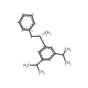 CC(C)c1[c]c(C(C)C)cc([C@@H](C)Cc2ccccc2)c1